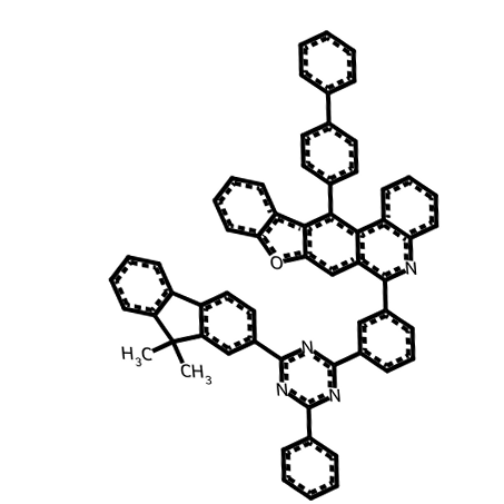 CC1(C)c2ccccc2-c2ccc(-c3nc(-c4ccccc4)nc(-c4cccc(-c5nc6ccccc6c6c(-c7ccc(-c8ccccc8)cc7)c7c(cc56)oc5ccccc57)c4)n3)cc21